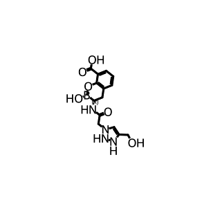 O=C(CN1C=C(CO)NN1)N[C@H]1Cc2cccc(C(=O)O)c2OB1O